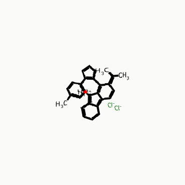 CC(C)=c1ccc2c(c1C1=C(c3ccc(C)cc3)C=CC1)[C]([Hf+2])=c1ccccc1=2.[Cl-].[Cl-]